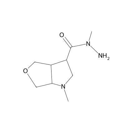 CN(N)C(=O)C1CN(C)C2COCC12